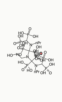 CCCN(C(P(=O)(O)O)P(=O)(O)O)C(N(CCO)C(N(CCC)C(P(=O)(O)O)P(=O)(O)O)(P(=O)(O)O)P(=O)(O)O)(P(=O)(O)O)P(=O)(O)O